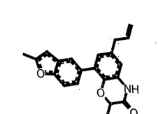 C=CCc1cc2c(c(-c3ccc4oc(C)cc4c3)c1)OC(C)C(=O)N2